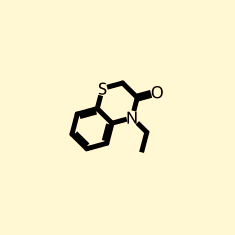 CCN1C(=O)CSc2ccccc21